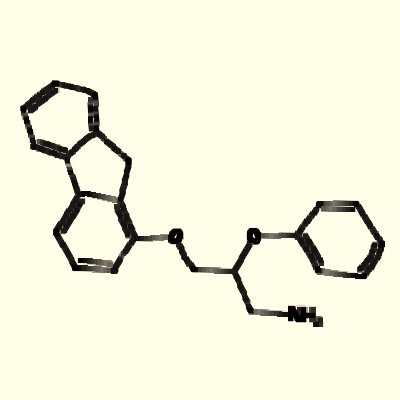 NCC(COc1cccc2c1Cc1ccccc1-2)Oc1ccccc1